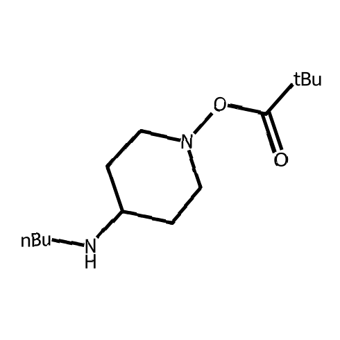 CCCCNC1CCN(OC(=O)C(C)(C)C)CC1